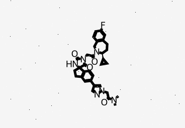 CN(C)C(=O)Cn1cc(-c2ccc3c(c2)CCC32NC(=O)N(CC(=O)N3Cc4ccc(F)cc4CC[C@H]3C3CC3)C2=O)cn1